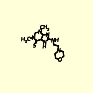 CN1CN(C)C2N=C(NCCN3CCOCC3)NC2C1=S